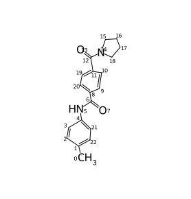 Cc1ccc(NC(=O)c2ccc(C(=O)N3CCCC3)cc2)cc1